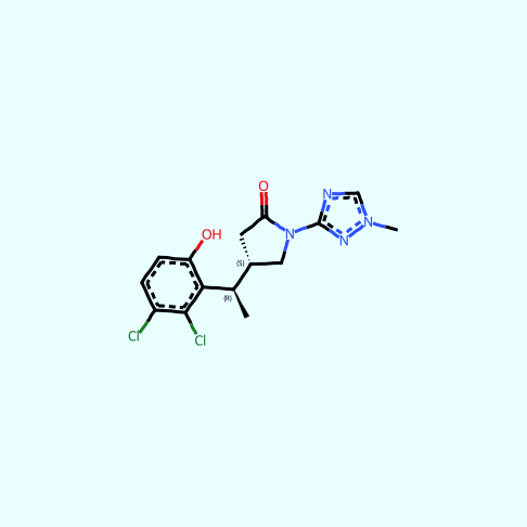 C[C@@H](c1c(O)ccc(Cl)c1Cl)[C@@H]1CC(=O)N(c2ncn(C)n2)C1